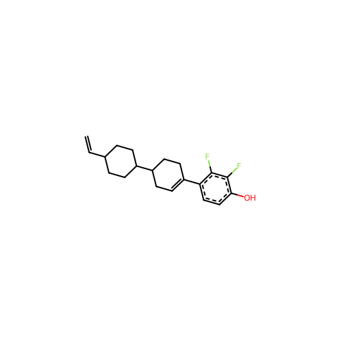 C=CC1CCC(C2CC=C(c3ccc(O)c(F)c3F)CC2)CC1